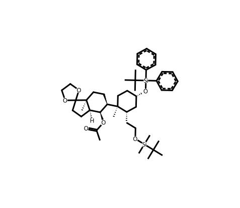 CC(=O)O[C@@H]1[C@H]([C@@]2(C)CC[C@H](O[Si](c3ccccc3)(c3ccccc3)C(C)(C)C)C[C@@H]2CCO[Si](C)(C)C(C)(C)C)CC[C@@]2(C)[C@@H]1CCC21OCCO1